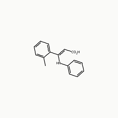 Cc1ccccc1/C(=C/C(=O)O)Nc1ccccc1